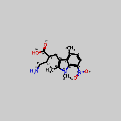 Cc1ccc([N+](=O)[O-])c2c1c(CC(CCN)C(=O)O)c(C)n2C